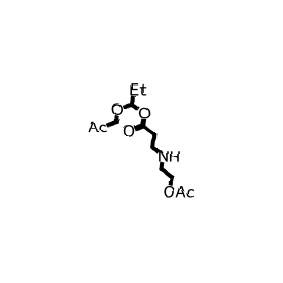 CCC(OCC(C)=O)OC(=O)CCNCCOC(C)=O